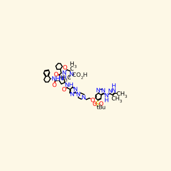 Cc1[nH]nc(Nc2ncnc3cc(OCCN4CCN(c5ncc(C(=O)N[C@H]6C[C@@H](C(=O)N[C@@H]7CCCc8ccccc87)N(C(=O)[C@@H](NC(=O)C(C)N(C)C(=O)O)C7CCCCC7)C6)cn5)CC4)c(S(=O)(=O)C(C)(C)C)cc23)c1C